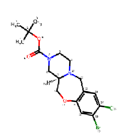 CC(C)(C)OC(=O)N1CCN2Cc3cc(Cl)c(Br)cc3OC[C@H]2C1